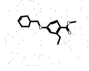 CCc1cc(OCC2CC=CCC2)ccc1C(=O)OC